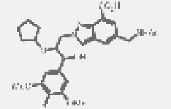 COc1cc(C(O)C(Cn2cc3cc(CNC(C)=O)cc(C(=O)O)c3n2)OC2CCCC2)cc(OC)c1C